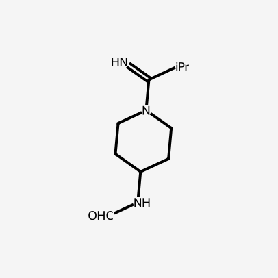 CC(C)C(=N)N1CCC(NC=O)CC1